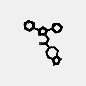 O=C(Cn1nc(-c2ccccc2)cc1-c1ccccc1)N1CCc2ncsc2CC1